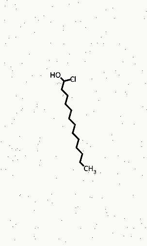 CCCCCCCCCCCCC(O)Cl